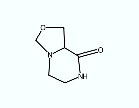 O=C1NCCN2COCC12